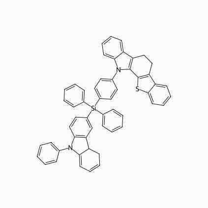 C1=CCC2C(=C1)N(c1ccccc1)c1ccc([Si](c3ccccc3)(c3ccccc3)c3ccc(-n4c5c(c6ccccc64)CCc4c-5sc5ccccc45)cc3)cc12